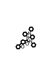 c1ccc(N2c3ccccc3B3c4c2cccc4N(c2ccccc2)c2oc4c(ccc5c6ccccc6oc54)c23)cc1